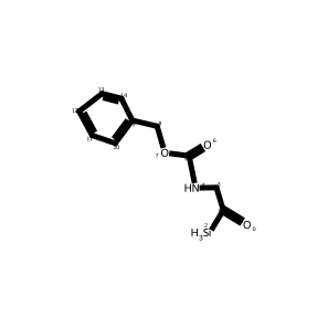 O=C([SiH3])CNC(=O)OCc1ccccc1